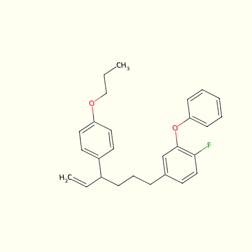 C=CC(CCCc1ccc(F)c(Oc2ccccc2)c1)c1ccc(OCCC)cc1